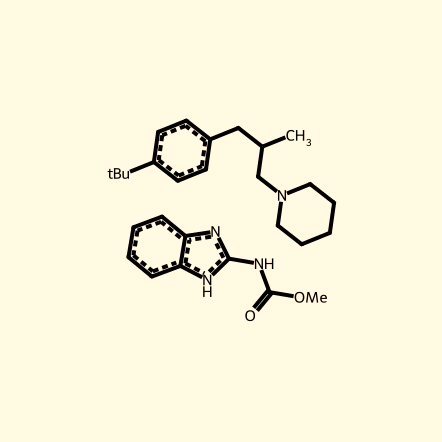 CC(Cc1ccc(C(C)(C)C)cc1)CN1CCCCC1.COC(=O)Nc1nc2ccccc2[nH]1